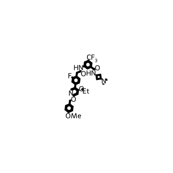 CCOc1cc(OCc2ccc(OC)cc2)ncc1-c1ccc(CC(=O)Nc2cc(C(=O)N[C@H]3C[C@H](N(C)C)C3)cc(C(F)(F)F)c2)c(F)c1